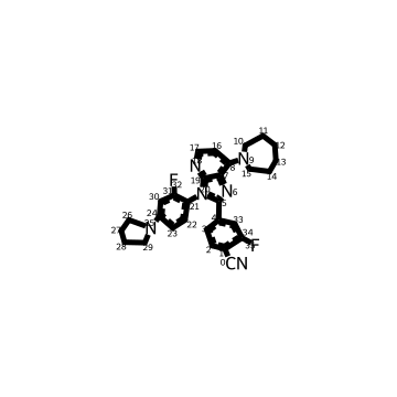 N#Cc1ccc(-c2nc3c(N4CCCCCC4)ccnc3n2-c2ccc(N3CCCC3)cc2F)cc1F